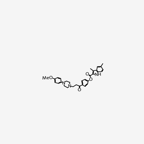 COc1ccc(N2CCN(CCC(=O)c3ccc(OC(=O)c4[nH]c5ccc(C)cc5c4C)cc3)CC2)cc1